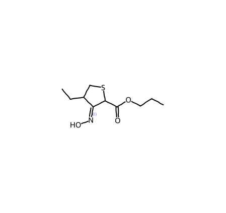 CCCOC(=O)C1SCC(CC)/C1=N\O